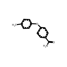 Cc1ccc(Oc2ccc(C(N)=O)cc2)cc1